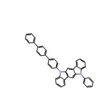 c1ccc(-c2ccc(-c3ccc(-n4c5ccccc5c5cc6c(cc54)c4ccccc4n6-c4ccccc4)cc3)cc2)cc1